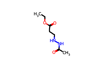 CCOC(=O)CCNNC(C)=O